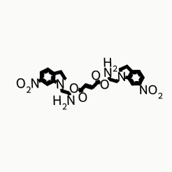 NC(CN1CCc2ccc([N+](=O)[O-])cc21)OC(=O)/C=C/C(=O)OC(N)CN1CCc2ccc([N+](=O)[O-])cc21